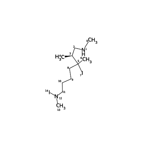 CNC[C@H](C)C(C)(I)CCCCN(C)I